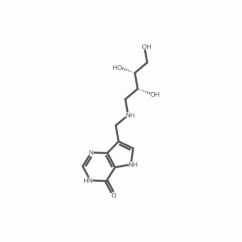 O=c1[nH]cnc2c(CNC[C@@H](O)[C@H](O)CO)c[nH]c12